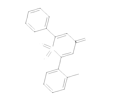 Cc1ccccc1C1=CC(=O)C=C(c2ccccc2)S1(=O)=O